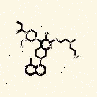 C=CC(=O)N1CCN(c2c(C#N)c(OCCN(C)CCOC)nc3c2CCN(c2cccc4cccc(C)c24)C3)C[C@@H]1CC#N